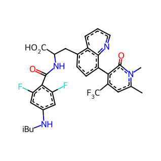 CCC(C)Nc1cc(F)c(C(=O)NC(Cc2ccc(-c3c(C(F)(F)F)cc(C)n(C)c3=O)c3ncccc23)C(=O)O)c(F)c1